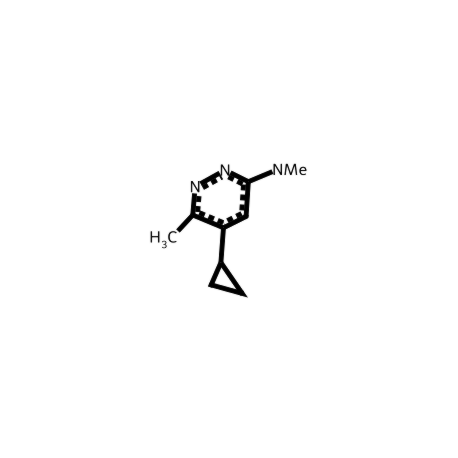 CNc1cc(C2CC2)c(C)nn1